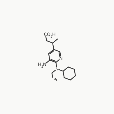 CC(C)CN(c1ncc(C(C)CC(=O)O)cc1N)C1CCCCC1